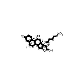 C[C@]12C=CC(=O)C=C1[C@@H](F)CC1C3C[C@@H](O)[C@](OC(=O)CCCO[N+](=O)[O-])(C(=O)CO)[C@@]3(C)C[C@H](O)[C@@]12F